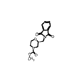 COC(=O)N1CCO[C@@H](CN2C(=O)c3ccccc3C2=O)C1